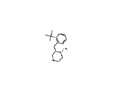 CN1CCNCC1Cc1[c]cccc1C(F)(F)F